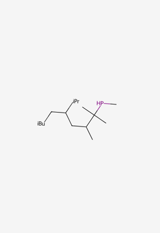 CCC(C)CC(CC(C)C(C)(C)PC)C(C)C